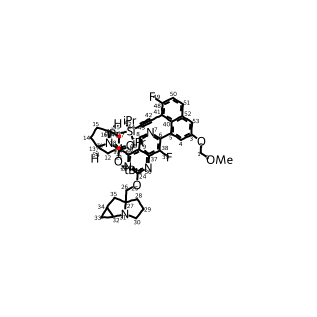 COCOc1cc(-c2ncc3c(N4C[C@H]5CC[C@@H](C4)N5C(=O)OC(C)(C)C)nc(OCC45CCCN4C4CC4C5)nc3c2F)c2c(C#C[Si](C(C)C)(C(C)C)C(C)C)c(F)ccc2c1